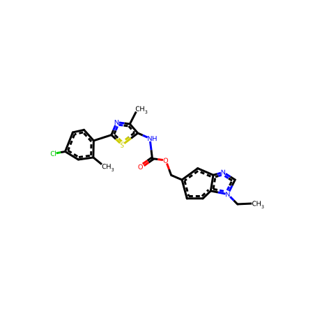 CCn1cnc2cc(COC(=O)Nc3sc(-c4ccc(Cl)cc4C)nc3C)ccc21